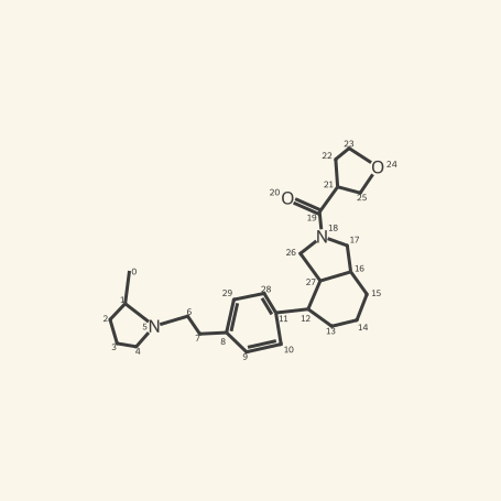 CC1CCCN1CCc1ccc(C2CCCC3CN(C(=O)C4CCOC4)CC32)cc1